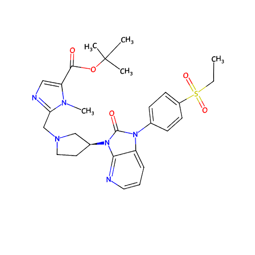 CCS(=O)(=O)c1ccc(-n2c(=O)n([C@H]3CCN(Cc4ncc(C(=O)OC(C)(C)C)n4C)C3)c3ncccc32)cc1